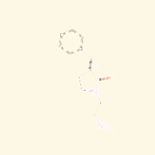 Cc1ccc(/C=C2\CCN(CCN)C2=O)cc1